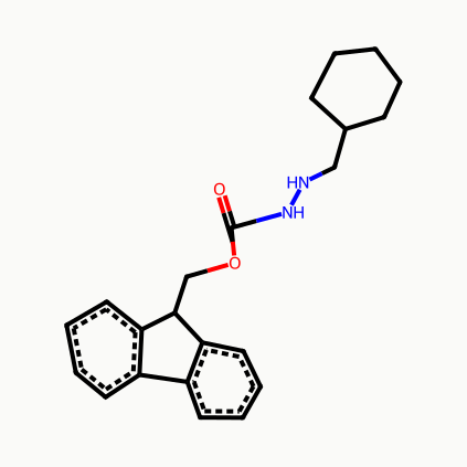 O=C(NNCC1CCCCC1)OCC1c2ccccc2-c2ccccc21